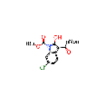 CCCCCCCCCC(=O)c1c(O)n(C(=O)OC(C)(C)C)c2cc(Cl)ccc12